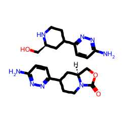 Nc1ccc(C2CCN3C(=O)OC[C@@H]3C2)nn1.Nc1ccc(C2CCN[C@H](CO)C2)nn1